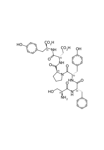 N[C@@H](CO)C(=O)N[C@@H](Cc1ccccc1)C(=O)N[C@@H](Cc1ccc(O)cc1)C(=O)N1CCC[C@H]1C(=O)N[C@@H](CC(=O)O)C(=O)N[C@@H](Cc1ccc(O)cc1)C(=O)O